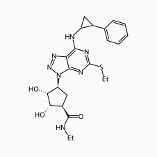 CCNC(=O)[C@@H]1C[C@H](n2nnc3c(NC4CC4c4ccccc4)nc(SCC)nc32)[C@@H](O)[C@H]1O